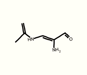 C=C(C)N/C=C(\N)C=O